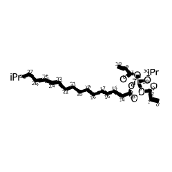 C=CC(=O)[O][Ti]([O]C(=O)C=C)([O]C(=O)CCCCCCCCCCCCCCC(C)C)[O]C(C)C